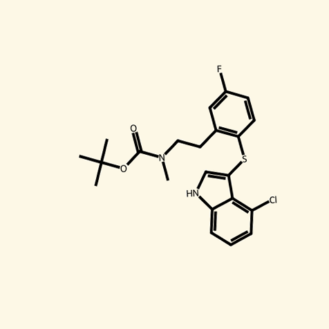 CN(CCc1cc(F)ccc1Sc1c[nH]c2cccc(Cl)c12)C(=O)OC(C)(C)C